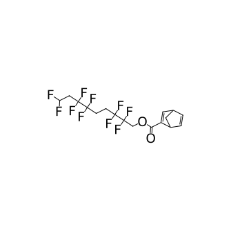 O=C(OCC(F)(F)C(F)(F)CCC(F)(F)C(F)(F)CC(F)F)C1=CC2C=CC1C2